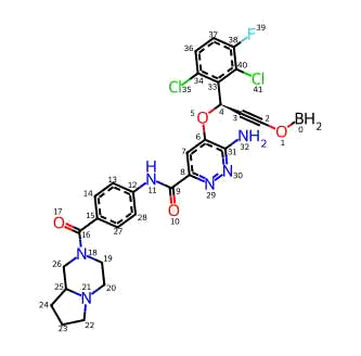 BOC#C[C@@H](Oc1cc(C(=O)Nc2ccc(C(=O)N3CCN4CCCC4C3)cc2)nnc1N)c1c(Cl)ccc(F)c1Cl